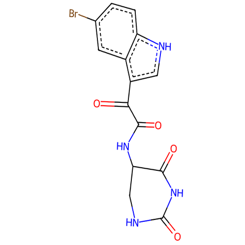 O=C1NCC(NC(=O)C(=O)c2c[nH]c3ccc(Br)cc23)C(=O)N1